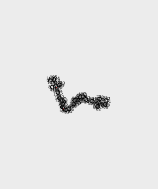 c1ccc2c(-c3c4ccccc4c(-c4ccc(-c5ccc6c(c5)sc5cc7c(cc56)sc5ccc6ccc(-c8ccc9c(ccc%10c%11ccc%12sc%13cc(-c%14ccc(-c%15c%16ccccc%16c(-c%16cccc%17ccccc%16%17)c%16ccccc%15%16)cc%14)ccc%13c%12c%11sc9%10)c8)cc6c57)cc4)c4ccccc34)cccc2c1